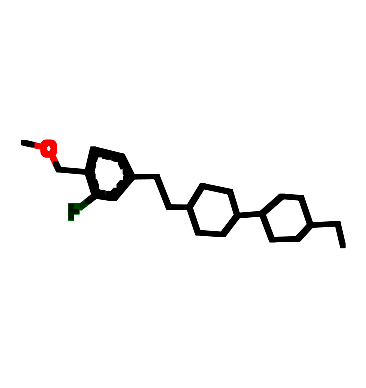 CCC1CCC(C2CCC(CCc3ccc(COC)c(F)c3)CC2)CC1